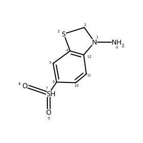 NN1CSc2cc([SH](=O)=O)ccc21